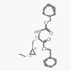 CC[C@H]1C[C@@H]1C[C@H](NC(=O)OCc1ccccc1)C(=O)OCc1ccccc1